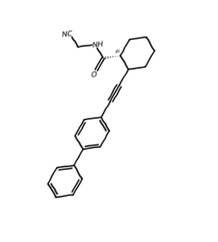 N#CCNC(=O)[C@@H]1CCCCC1C#Cc1ccc(-c2ccccc2)cc1